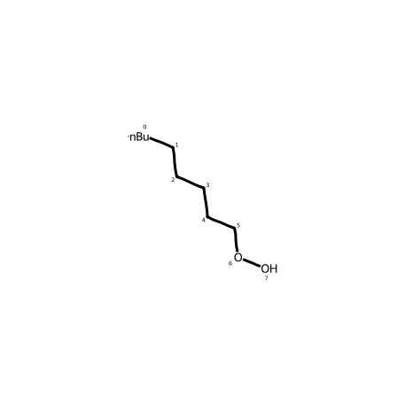 CCC[CH]CCCCCOO